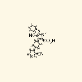 CN1C(Sc2ccccc2)=C(C#N)C(c2ccc(-c3ccccc3C#N)cc2)C1C(=O)O